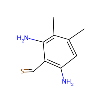 Cc1cc(N)c(C=S)c(N)c1C